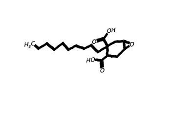 CCCCCCCCCCC1(C(=O)O)CC2OC2CC1C(=O)O